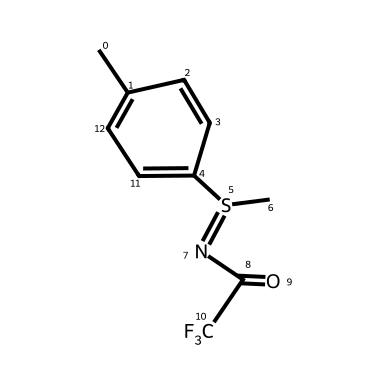 Cc1ccc(/S(C)=N/C(=O)C(F)(F)F)cc1